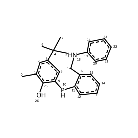 Cc1cc(C(C)(C)C)cc(Pc2ccccc2CNc2ccccc2)c1O